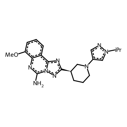 COc1cccc2c1nc(N)n1nc([C@@H]3CCCN(c4cnn(C(C)C)c4)C3)nc21